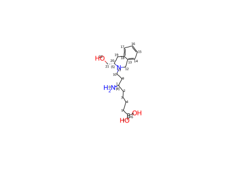 N[C@H](CCCCB(O)O)CCN1Cc2ccccc2C[C@H]1CO